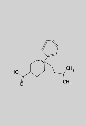 CC(C)CC[Si]1(c2ccccc2)CCC(C(=O)O)CC1